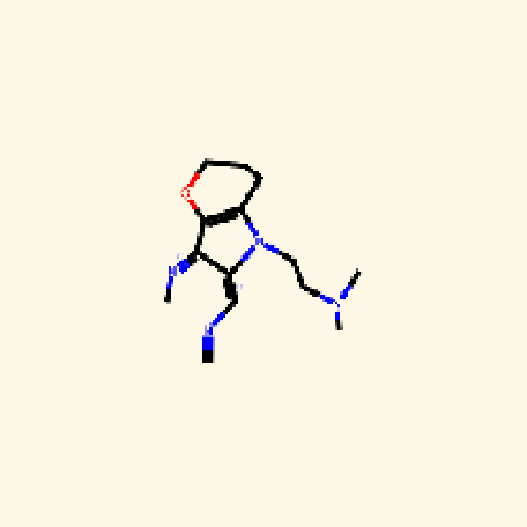 C=N/C=C1\C(=N/C)C2=C(CCCO2)N1CCN(C)C